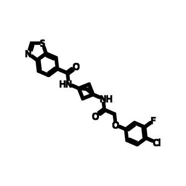 O=C(COc1ccc(Cl)c(F)c1)NC12CC(NC(=O)c3ccc4ncsc4c3)(C1)C2